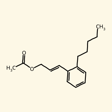 CCCCCc1ccccc1/C=C/COC(C)=O